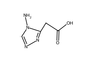 Nn1[c]nnc1CC(=O)O